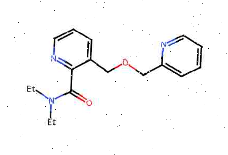 CCN(CC)C(=O)c1ncccc1COCc1ccccn1